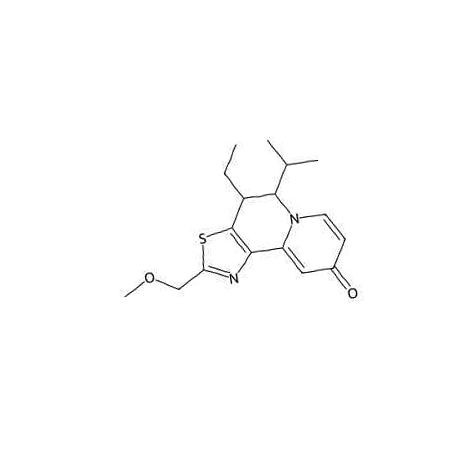 CCC1c2sc(COC)nc2-c2cc(=O)ccn2C1C(C)C